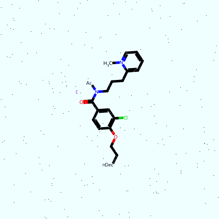 CCCCCCCCCCCCOc1ccc(C(=O)N(CCCc2cccc[n+]2C)C(C)=O)cc1Cl.[I-]